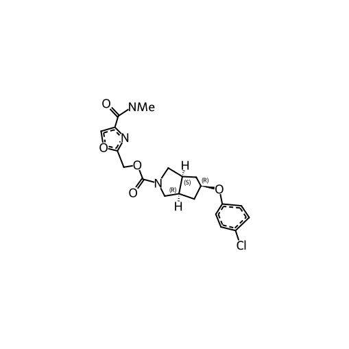 CNC(=O)c1coc(COC(=O)N2C[C@H]3C[C@@H](Oc4ccc(Cl)cc4)C[C@H]3C2)n1